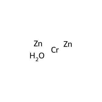 O.[Cr].[Zn].[Zn]